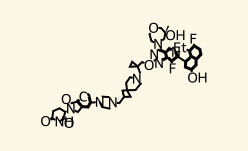 CCc1c(F)ccc2cc(O)cc(-c3ncc4c(N5CCOC[C@](C)(O)C5)nc(OCC5(CN6CCC7(CC6)CC(CN6CCN(c8ccc9c(c8)CN([C@H]8CCC(=O)NC8=O)C9=O)CC6)C7)CC5)nc4c3F)c12